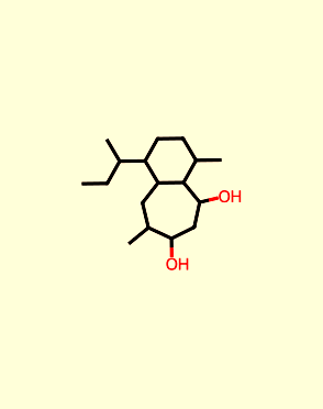 CCC(C)C1CCC(C)C2C(O)CC(O)C(C)CC12